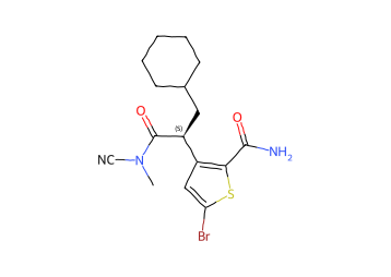 CN(C#N)C(=O)[C@@H](CC1CCCCC1)c1cc(Br)sc1C(N)=O